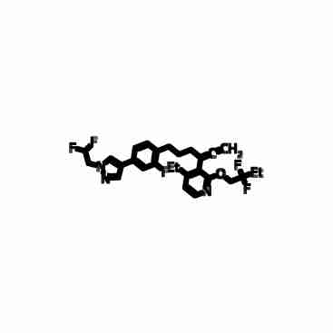 C=C=C(CCCc1ccc(-c2cnn(CC(F)F)c2)cc1F)c1c(CC)ccnc1OCC(F)(F)CC